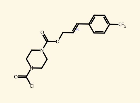 O=C(Cl)N1CCN(C(=O)OC/C=C/c2ccc(C(F)(F)F)cc2)CC1